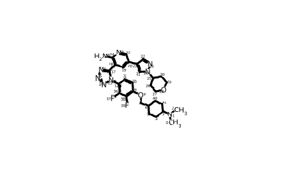 CN(C)C1CCC(COc2ccc(-n3nnnc3-c3cc(-c4cnn(C5CCOCC5)c4)cnc3N)c(F)c2F)CC1